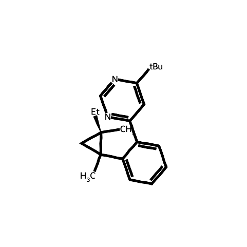 CC[C@]1(C)CC1(C)c1ccccc1-c1cc(C(C)(C)C)ncn1